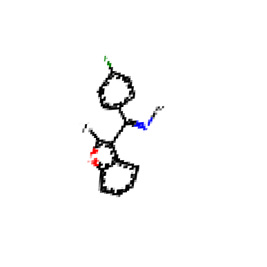 CC(=O)N=C(c1ccc(F)cc1)c1c(C(F)(F)F)oc2ccccc12